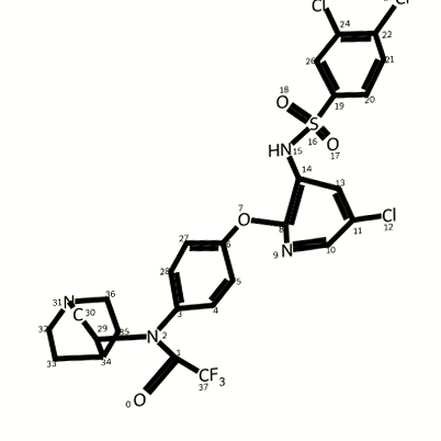 O=C(N(c1ccc(Oc2ncc(Cl)cc2NS(=O)(=O)c2ccc(Cl)c(Cl)c2)cc1)C1CN2CCC1CC2)C(F)(F)F